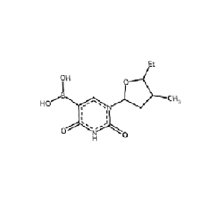 CCC1OC(n2cc(B(O)O)c(=O)[nH]c2=O)CC1C